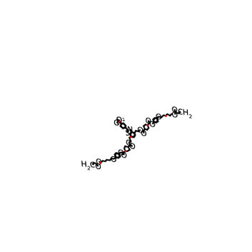 C=CC(=O)OCCCCCCOc1ccc(OC(=O)C2CCC(C(=O)OCCc3ccc(CCOC(=O)C4CCC(C(=O)Oc5ccc(OCCCCCCOC(=O)C=C)cc5)CC4)c4sc(-c5ccc([N+](=O)[O-])cc5)nc34)CC2)cc1